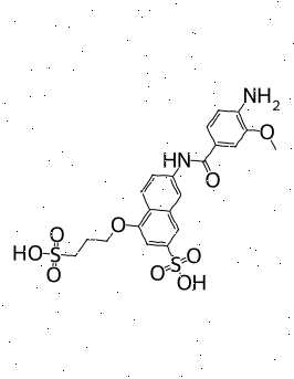 COc1cc(C(=O)Nc2ccc3c(OCCCS(=O)(=O)O)cc(S(=O)(=O)O)cc3c2)ccc1N